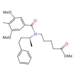 COC(=O)CCCCN(C(=O)c1cc(OC)c(C)c(OC)c1)[C@@H](C)CCc1ccccc1